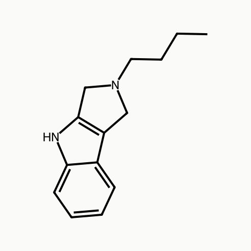 CCCCN1Cc2[nH]c3ccccc3c2C1